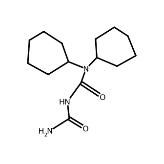 NC(=O)NC(=O)N(C1CCCCC1)C1CCCCC1